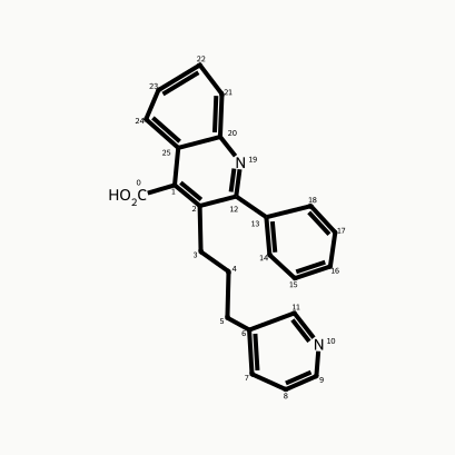 O=C(O)c1c(CCCc2cccnc2)c(-c2ccccc2)nc2ccccc12